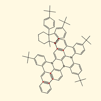 CC(C)(C)c1ccc(C23CCCCC2(C)N(c2cc4c5c(c2)N(c2ccc(C(C)(C)C)cc2-c2ccccc2)c2cc(-c6ccccc6)ccc2B5c2cc(C(C)(C)C)ccc2N4c2ccc(C(C)(C)C)cc2-c2ccccc2)c2ccc(C(C)(C)C)cc23)cc1